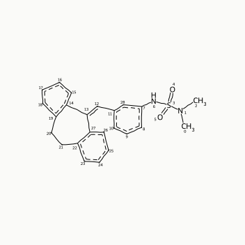 CN(C)S(=O)(=O)Nc1cccc(C=C2c3ccccc3CCc3ccccc32)c1